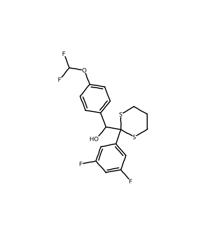 OC(c1ccc(OC(F)F)cc1)C1(c2cc(F)cc(F)c2)SCCCS1